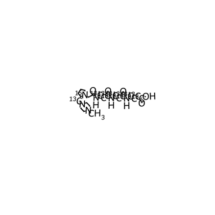 CN1CCN([13CH2]C2CCC[15N]2CC(=O)N[13CH2][13CH2][13C](=O)[15NH][13CH2][13CH2][13C](=O)[15NH][13CH2][13CH2][13CH2][13C](=O)O)CC1